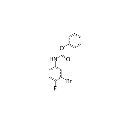 O=C(Nc1ccc(F)c(Br)c1)Oc1ccccc1